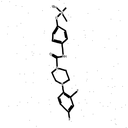 CC(C)(C)[Si](C)(C)Oc1ccc(NC(=O)N2CCN(c3ccc(F)cc3F)CC2)cc1